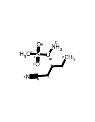 CCCCC#N.CS(=O)(=O)ON